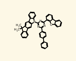 CC1(C)c2ccccc2-c2cc3c(cc21)c1ccccc1n3-c1nc(-c2ccc(-c3ccccc3)cc2)nc(-c2cccc3c2oc2ccccc23)n1